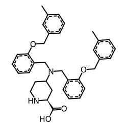 Cc1cccc(COc2ccccc2CN(Cc2ccccc2OCc2cccc(C)c2)C2CCN[C@H](C(=O)O)C2)c1